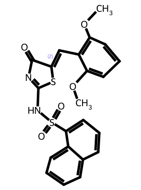 COc1cccc(OC)c1/C=C1\SC(NS(=O)(=O)c2cccc3ccccc23)=NC1=O